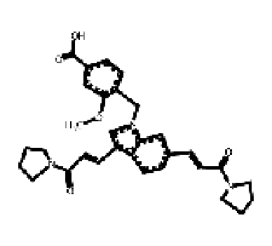 COc1cc(C(=O)O)ccc1Cn1cc(C=CC(=O)N2CCCC2)c2ccc(C=CC(=O)N3CCCC3)cc21